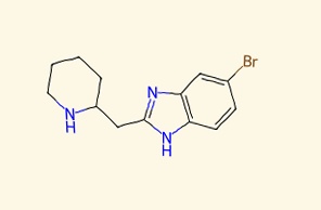 Brc1ccc2[nH]c(CC3CCCCN3)nc2c1